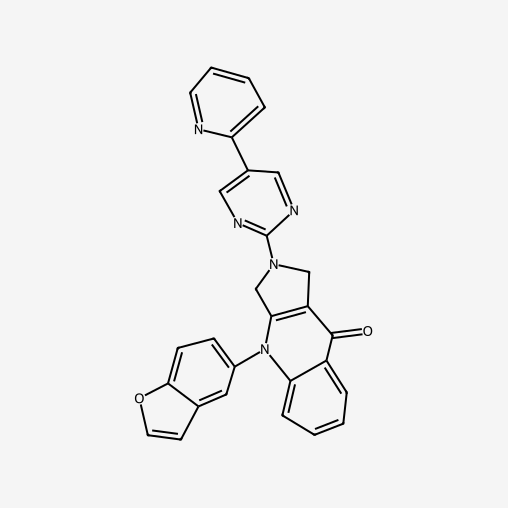 O=c1c2c(n(-c3ccc4occc4c3)c3ccccc13)CN(c1ncc(-c3ccccn3)cn1)C2